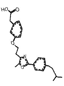 Cc1oc(-c2ccc(CC(C)C)cc2)nc1CCOc1cccc(CC(=O)O)c1